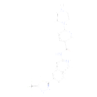 CN1CCN(c2ccc(C(=O)Nc3cc4cc(-c5nnc(C(F)(F)F)s5)ccc4cn3)cn2)CC1